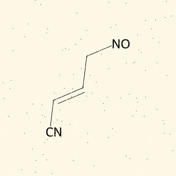 N#CC=CCN=O